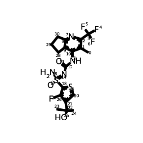 Cc1c(C(F)(F)F)nc2c(c1NC(=O)N=[S@@](N)(=O)c1scc(C(C)(C)O)c1F)CCC2